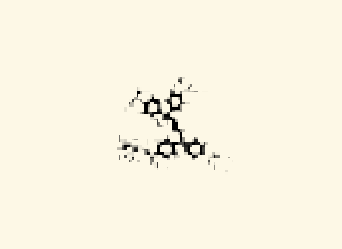 CN(C)c1ccc(C(=CC=CC(O)(c2ccc(N(C)C)cc2)c2ccc(N(C)C)cc2)c2ccc(N(C)C)cc2)cc1.O=S(=O)(O)C(F)(F)F